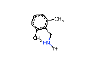 CCNCc1c(C)cccc1C